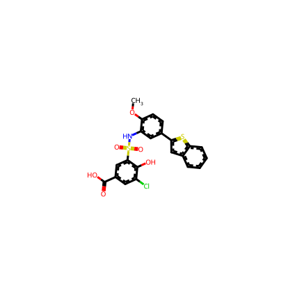 COc1ccc(-c2cc3ccccc3s2)cc1NS(=O)(=O)c1cc(C(=O)O)cc(Cl)c1O